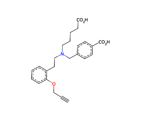 C#CCOc1ccccc1CCN(CCCCC(=O)O)Cc1ccc(C(=O)O)cc1